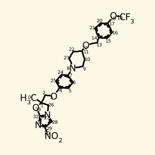 CC1(COc2ccc(N3CCC(OCc4ccc(OC(F)(F)F)cc4)CC3)cc2)Cn2cc([N+](=O)[O-])nc2O1